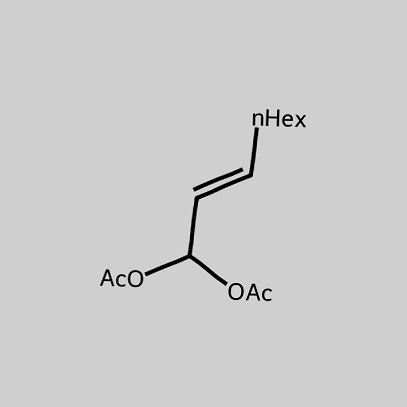 CCCCCCC=CC(OC(C)=O)OC(C)=O